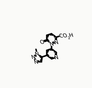 Cn1nncc1-c1cncc(-n2nc(C(=O)O)ccc2=O)c1